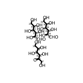 O=C(CO)[C@@H](O)[C@H](O)[C@H](O)CO.O=C[C@H](O)[C@@H](O)[C@@H](O)[C@H](O)CO.O=C[C@H](O)[C@@H](O)[C@H](O)[C@H](O)CO